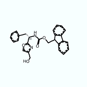 O=C(N[C@@H](Cc1ccccc1)c1nc(CO)co1)OCC1c2ccccc2-c2ccccc21